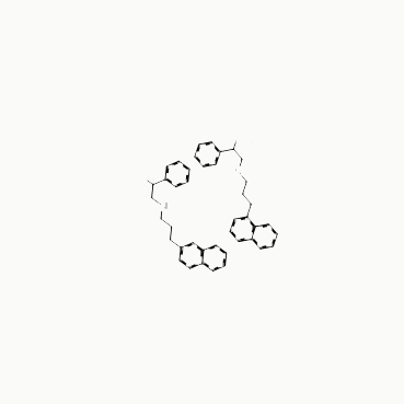 CC(CNCCCc1ccc2ccccc2c1)c1ccccc1.CC(CNCCCc1cccc2ccccc12)c1ccccc1